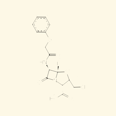 C[C@@]1(CCl)S[C@H]2[C@H](NC(=O)COc3ccccc3)C(=O)N2[C@H]1C(=O)O